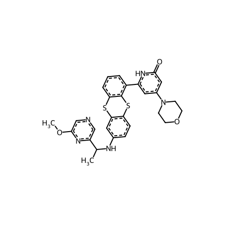 COc1cncc(C(C)Nc2ccc3c(c2)Sc2cccc(-c4cc(N5CCOCC5)cc(=O)[nH]4)c2S3)n1